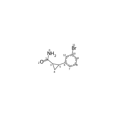 NC(=O)C1CC1c1cccc(Br)c1